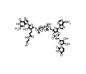 COCCNC(=O)CC[C@@H]1[C@@H](COP(=O)(O)OP(=O)(O)OP(=O)(O)OC[C@H]2O[C@@H](n3cnc4c(N)ncnc43)[C@H](OC)[C@@H]2OP(=O)([O-])OC[C@H]2O[C@@H](n3ccc(=O)[nH]c3=O)[C@H](O)[C@@H]2O)OC(n2c[n+](C)c3c(=O)[nH]c(N)nc32)[C@@H]1O